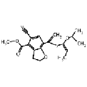 C=C(S/C(=C\C)OC(C)C)c1cc(C#N)c(C(=O)OC)c2c1OCC2